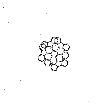 c1cnc(-c2c(-n3c4ccccc4c4ccccc43)c(-c3ncccn3)c(-n3c4ccccc4c4ccccc43)c(-n3c4ccccc4c4ccccc43)c2-n2c3ccccc3c3ccccc32)nc1